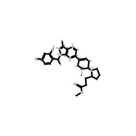 COC(=O)CCC1CCCN1C1CC=C(c2cnc3c(C)nn(C(C)c4ccc(Cl)cc4Cl)c3n2)C[C@H]1C